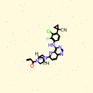 C=CC(=O)N1C[C@@H]2C[C@H]1CN2c1ccc2ncnc(Nc3ccc(C4(C#N)CC4)c(Cl)c3F)c2n1